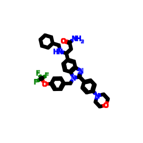 NC(=O)CC(NCC1CCCCC1)c1ccc2c(c1)nc(-c1ccc(N3CCOCC3)cc1)n2Cc1ccc(OC(F)(F)F)cc1